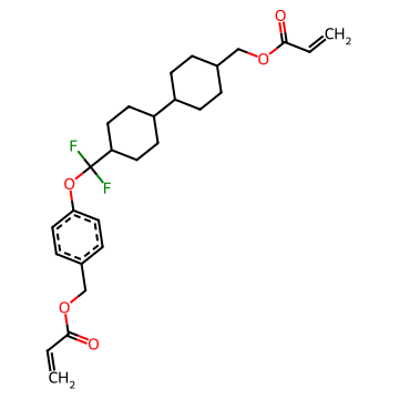 C=CC(=O)OCc1ccc(OC(F)(F)C2CCC(C3CCC(COC(=O)C=C)CC3)CC2)cc1